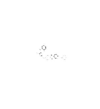 CN1CCCC(COc2ccc(S(=O)(=O)N3CCC(Nc4nc(N)c(C(=O)c5c(F)cccc5F)s4)CC3)cn2)C1